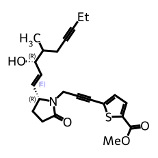 CCC#CCC(C)[C@@H](O)/C=C/[C@H]1CCC(=O)N1CC#Cc1ccc(C(=O)OC)s1